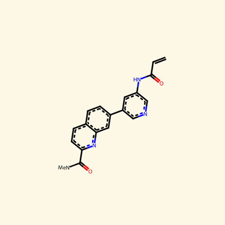 C=CC(=O)Nc1cncc(-c2ccc3ccc(C(=O)NC)nc3c2)c1